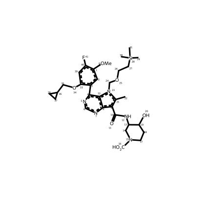 COc1cc(-c2ncnc3c(C(=O)NC4CN(C(=O)O)CCC4O)c(C)n(COCC[Si](C)(C)C)c23)c(OCC2CC2)cc1F